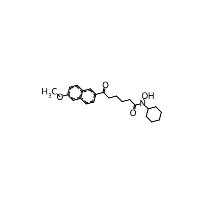 COc1ccc2cc(C(=O)CCCCC(=O)N(O)C3CCCCC3)ccc2c1